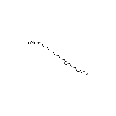 CCCCCCCCCCCCCCCCCCOCCCCN